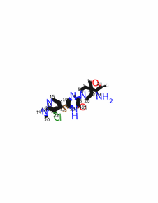 C[C@@H]1OCC2(CCN(c3ncc(Sc4ccnc(N(C)C)c4Cl)[nH]c3=O)CC2)[C@@H]1N